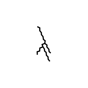 CCCCCCCCC(CCCCC)CC(CCCC)CCCCCCC